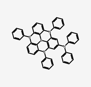 c1ccc(B2c3cccc4c3B3c5c2cccc5N(c2ccccc2)c2cc(N(c5ccccc5)c5ccccc5)cc(c23)B4c2ccccc2)cc1